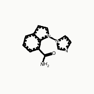 NC(=O)c1cccc2ccn(-n3ccnc3)c12